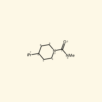 CNC(=O)N1CCC(C(C)C)CC1